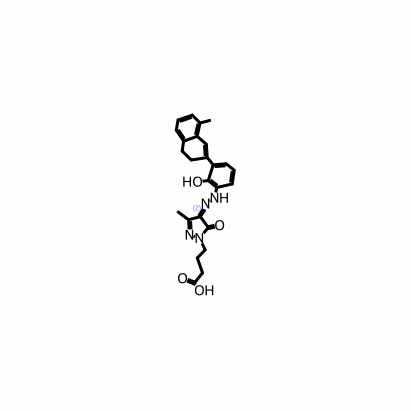 CC1=NN(CCCC(=O)O)C(=O)/C1=N\Nc1cccc(C2=Cc3c(C)cccc3CC2)c1O